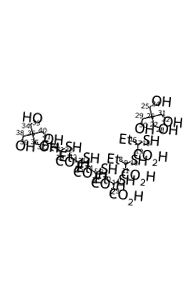 CCC(S)C(=O)O.CCC(S)C(=O)O.CCC(S)C(=O)O.CCC(S)C(=O)O.CCC(S)C(=O)O.CCC(S)C(=O)O.OCC(CO)(CO)CO.OCC(CO)(CO)CO